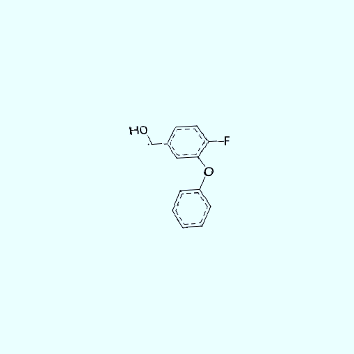 O[CH]c1ccc(F)c(Oc2ccccc2)c1